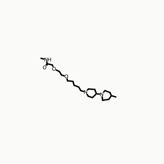 CNC(=O)COCCOCCCCCN1CCC(N2CCC(C)CC2)CC1